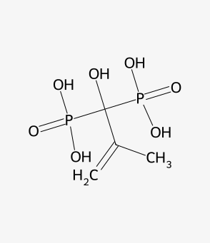 C=C(C)C(O)(P(=O)(O)O)P(=O)(O)O